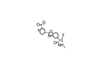 COC(=O)c1cc(-c2nc3cc([C@]4(C(N)=O)C[C@@H]4F)ccc3o2)ccn1